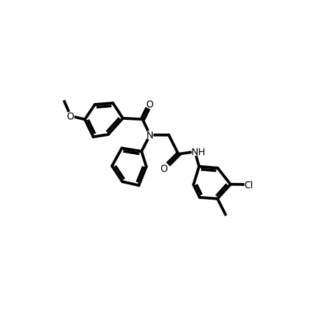 COc1ccc(C(=O)N(CC(=O)Nc2ccc(C)c(Cl)c2)c2ccccc2)cc1